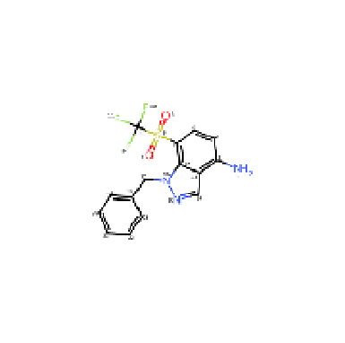 Nc1ccc(S(=O)(=O)C(F)(F)F)c2c1cnn2Cc1ccccc1